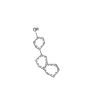 Oc1ccc(-c2[c][c]c3ccccc3c2)cc1